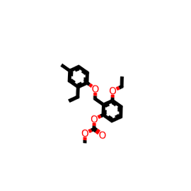 CCOc1cccc(OC(=O)OC)c1COc1ccc(C)cc1CC